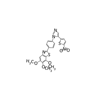 COc1cc2nc(-c3ccc(-n4cncc4-c4ccc([N+](=O)[O-])s4)cc3)sc2c(OC)c1OC